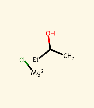 CCC(C)O.[Mg+2][Cl]